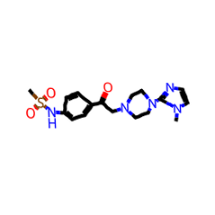 Cn1ccnc1N1CCN(CC(=O)c2ccc(NS(C)(=O)=O)cc2)CC1